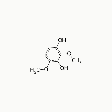 COc1ccc(O)c(OC)c1O